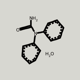 NC(=O)N(c1ccccc1)c1ccccc1.O